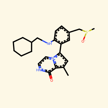 Cc1cc(-c2cc(C[S+](C)[O-])ccc2NCC2CCCCC2)n2cc[nH]c(=O)c12